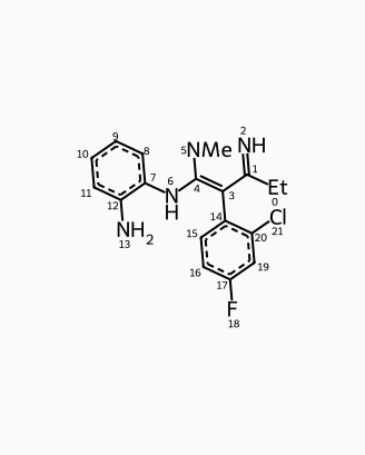 CCC(=N)/C(=C(\NC)Nc1ccccc1N)c1ccc(F)cc1Cl